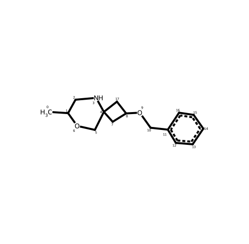 CC1CNC2(CO1)CC(OCc1ccccc1)C2